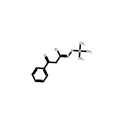 CC/C(CC(=O)c1ccccc1)=N\O[Si](C)(C)C